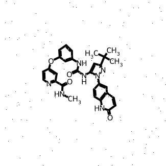 CNC(=O)c1cc(Oc2cccc(NC(=O)Nc3cc(C(C)(C)C)nn3-c3ccc4[nH]c(=O)ccc4c3)c2)ccn1